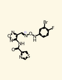 O=C(Nc1nonc1/C=N/ONc1ccc(F)c(Br)c1)c1cscn1